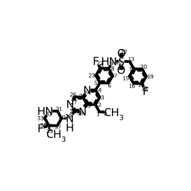 CCc1cc(-c2ccc(NS(=O)(=O)Cc3ccc(F)cc3)c(F)c2)nc2cnc(N[C@@H]3CNC[C@@](C)(F)C3)nc12